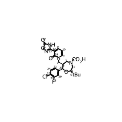 CC(C)(C)C1CN(C(=O)O)C[C@H](Cn2cccc(-c3noc(=O)[nH]3)c2=O)[C@H](c2ccc(Cl)c(F)c2)O1